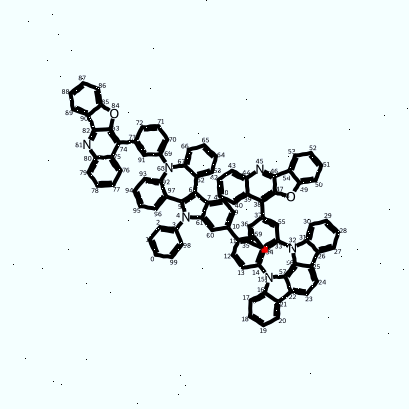 c1ccc(-n2c3c(c4ccc(-c5ccc(-n6c7ccccc7c7ccc8c9ccccc9n(-c9cccc(-c%10c%11ccccc%11nc%11c%10oc%10ccccc%10%11)c9)c8c76)cc5)cc42)-c2ccccc2N(c2cccc(-c4c5ccccc5nc5c4oc4ccccc45)c2)c2ccccc2-3)cc1